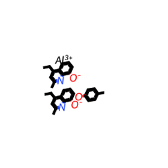 CCc1cc(C)nc2c([O-])cccc12.CCc1cc(C)nc2c([O-])cccc12.Cc1ccc([O-])cc1.[Al+3]